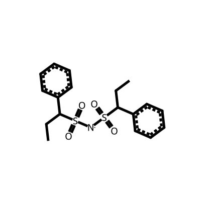 CCC(c1ccccc1)S(=O)(=O)[N]S(=O)(=O)C(CC)c1ccccc1